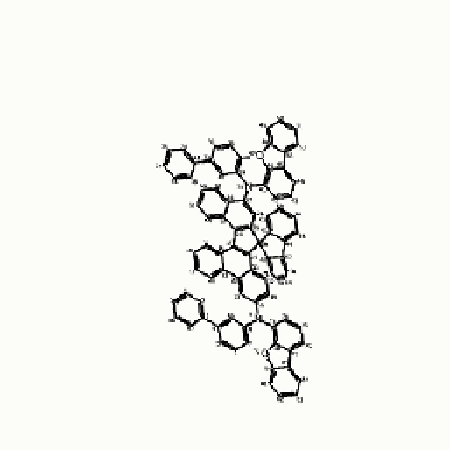 c1ccc(-c2cccc(N(c3ccc4c5c(c6ccccc6c4c3)-c3c(cc(N(c4cccc(-c6ccccc6)c4)c4cccc6c4oc4ccccc46)c4ccccc34)C53c4ccccc4-c4ccccc43)c3cccc4c3oc3ccccc34)c2)cc1